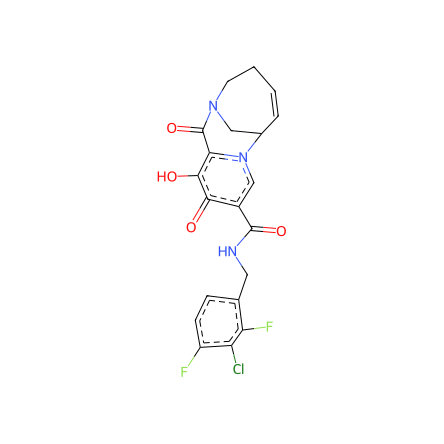 O=C(NCc1ccc(F)c(Cl)c1F)c1cn2c(c(O)c1=O)C(=O)N1CCC=CC2C1